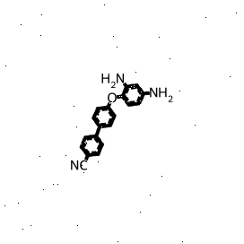 N#Cc1ccc(-c2ccc(Oc3ccc(N)cc3N)cc2)cc1